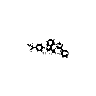 NC(=O)c1ccc(-n2cc(C(F)(F)F)c3c(-n4cnc(-c5cccnc5)c4)cccc32)c(N)c1